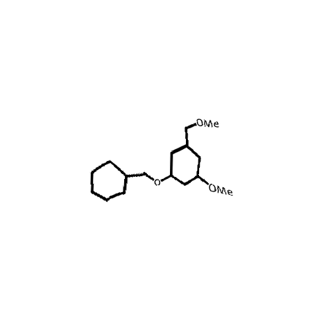 COCC1CC(OC)CC(OCC2CCCCC2)C1